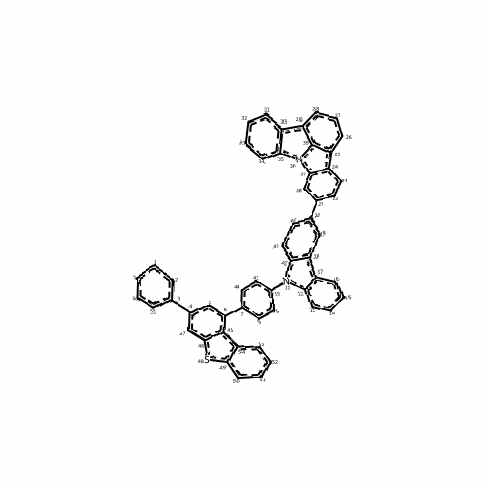 c1ccc(-c2cc(-c3ccc(-n4c5ccccc5c5cc(-c6ccc7c8cccc9c%10ccccc%10n(c7c6)c98)ccc54)cc3)c3c(c2)sc2ccccc23)cc1